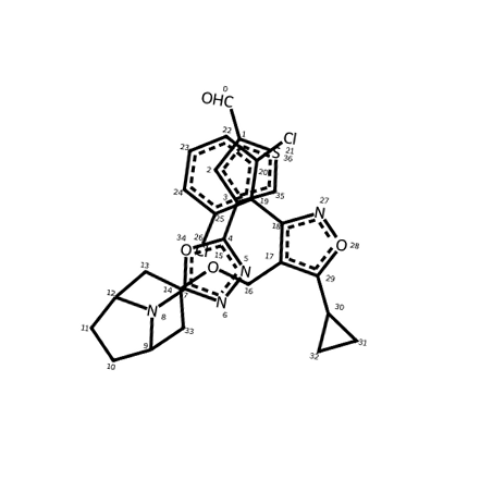 O=Cc1cc(-c2nnc(N3C4CCC3CC(OCc3c(-c5c(Cl)cccc5Cl)noc3C3CC3)C4)o2)cs1